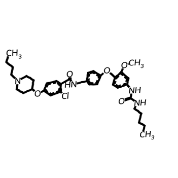 CCCCCNC(=O)Nc1ccc(Oc2ccc(NC(=O)c3ccc(OC4CCN(CCCC)CC4)cc3Cl)cc2)c(OC)c1